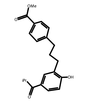 COC(=O)c1ccc(CCCc2cc(C(=O)C(C)C)ccc2O)cc1